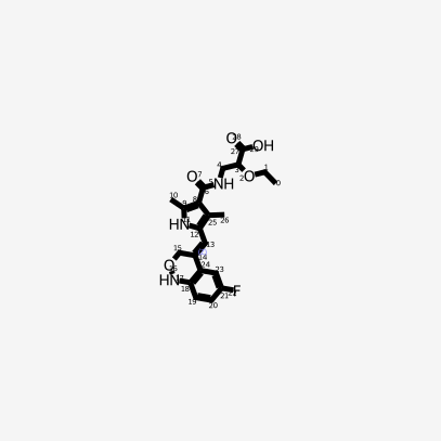 CCOC(CNC(=O)c1c(C)[nH]c(/C=C2\CONc3ccc(F)cc32)c1C)C(=O)O